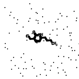 CCCCc1ccc(CCl)c(=O)[nH]1